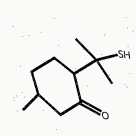 CC1CCC(C(C)(C)S)C(=O)C1